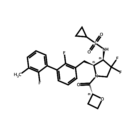 Cc1cccc(-c2cccc(C[C@H]3[C@@H](NS(=O)(=O)C4CC4)C(F)(F)CN3C(=O)[C@H]3CCO3)c2F)c1F